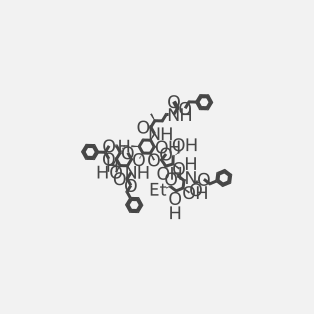 CC[C@@H]1O[C@H](O[C@H]2[C@@H](O)[C@H](O[C@@H]3[C@@H](O)[C@H](NC(=O)[C@@H](C)CCNC(=O)OCc4ccccc4)C[C@H](C)[C@H]3O[C@H]3O[C@@H]4COC(c5ccccc5)O[C@H]4[C@H](O)[C@H]3NC(=O)OCc3ccccc3)O[C@@H]2CO)[C@H](NC(=O)OCc2ccccc2)[C@@H](O)[C@@H]1O